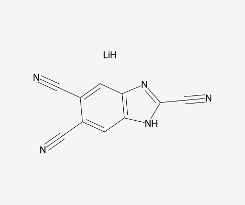 N#Cc1nc2cc(C#N)c(C#N)cc2[nH]1.[LiH]